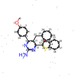 COc1ccc(-c2nc(N)nc(-c3cc4ccccc4s3)c2Cc2ccccc2)cc1